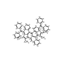 Cc1c(C)n2c3c(c4ccccc4c(N(c4ccccc4)c4ccccc4)c13)B1c3c-2cc2ccccc2c3-n2c(C)c(C)c3c(N(c4ccccc4)c4ccccc4)ccc1c32